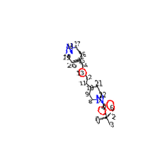 CC(C)(C)OC(=O)N1CCC(CCOCc2ccncc2)CC1